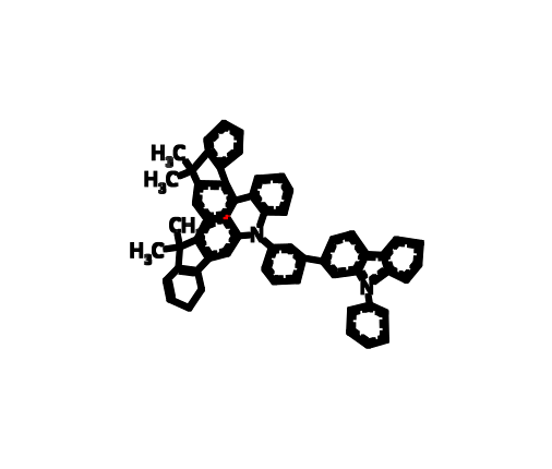 CC1(C)C2=C(CCC=C2)c2cc(N(c3cccc(-c4ccc5c6ccccc6n(-c6ccccc6)c5c4)c3)c3ccccc3-c3cccc4c3-c3ccccc3C4(C)C)ccc21